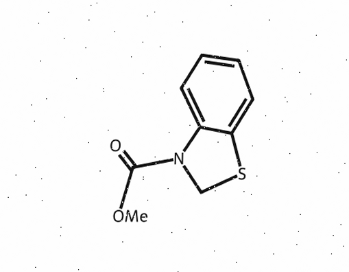 COC(=O)N1CSc2ccccc21